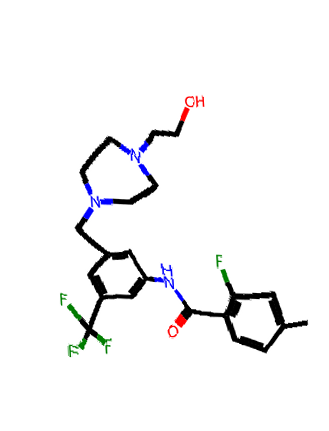 Cc1ccc(C(=O)Nc2cc(CN3CCN(CCO)CC3)cc(C(F)(F)F)c2)c(F)c1